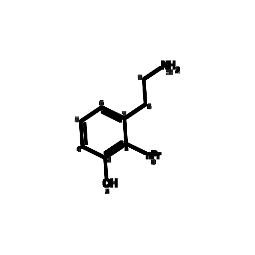 CCCc1c(O)cccc1CCN